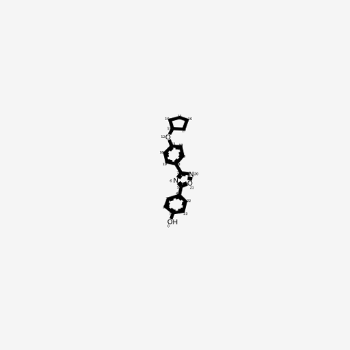 Oc1ccc(-c2nc(-c3ccc(OC4CCCC4)cc3)no2)cc1